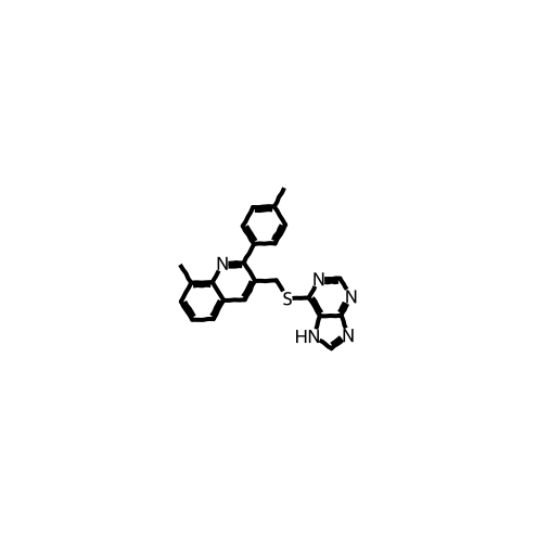 Cc1ccc(-c2nc3c(C)cccc3cc2CSc2ncnc3nc[nH]c23)cc1